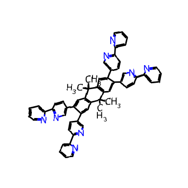 CC1(C)c2cc(-c3ccc(-c4ccccn4)nc3)c(-c3ccc(-c4ccccn4)nc3)cc2C(C)(C)c2cc(-c3ccc(-c4ccccn4)nc3)c(-c3ccc(-c4ccccn4)nc3)cc21